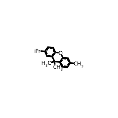 Cc1ccc2c(c1)Oc1ccc(C(C)C)cc1C2(C)C